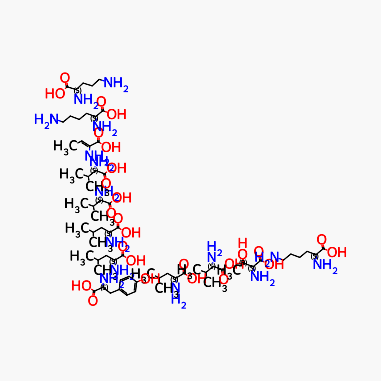 CC(C)C[C@H](N)C(=O)O.CC(C)C[C@H](N)C(=O)O.CC(C)C[C@H](N)C(=O)O.CC(C)[C@H](N)C(=O)O.CC(C)[C@H](N)C(=O)O.CC(C)[C@H](N)C(=O)O.CC=C(N)C(=O)O.C[C@@H](O)[C@H](N)C(=O)O.NCCCC[C@H](N)C(=O)O.NCCCC[C@H](N)C(=O)O.NCCC[C@H](N)C(=O)O.N[C@@H](Cc1ccc(O)cc1)C(=O)O